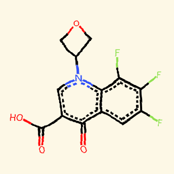 O=C(O)c1cn(C2COC2)c2c(F)c(F)c(F)cc2c1=O